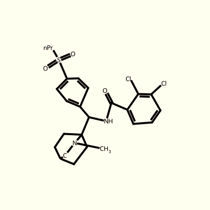 CCCS(=O)(=O)c1ccc(C(NC(=O)c2cccc(Cl)c2Cl)C23CCC(CC2)CN3C)cc1